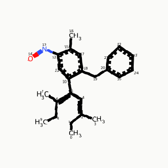 CC/C(C)=C\C(=C(\C)CC)c1cc(N=O)c(C)cc1Cc1ccccc1